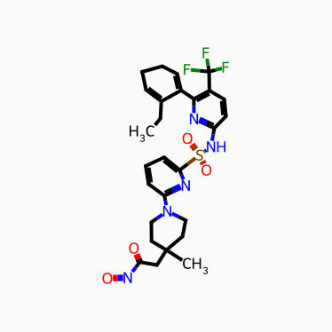 CCC1=CCCC=C1c1nc(NS(=O)(=O)c2cccc(N3CCC(C)(CC(=O)N=O)CC3)n2)ccc1C(F)(F)F